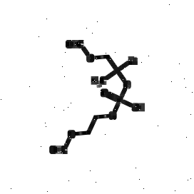 CCC(C)(COC=O)OP(=O)(O)OCCOC=O